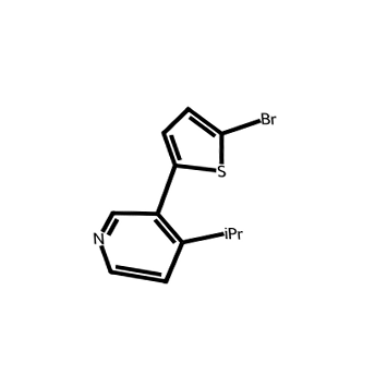 CC(C)c1ccncc1-c1ccc(Br)s1